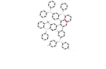 Cc1ccc(N(c2ccc(C)cc2)c2ccc(-c3cccc(-c4ccc(N(c5ccccc5)c5ccccc5)cc4N(c4ccccc4)c4ccccc4)c3-c3ccc4c(c3)C(C)(C)c3ccccc3N4c3ccccc3)c(C)c2)cc1